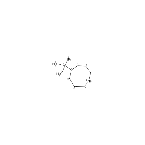 CC(C)C(C)(C)C1CCCNCCC1